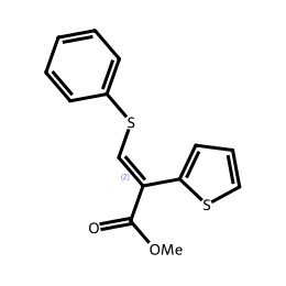 COC(=O)/C(=C/Sc1ccccc1)c1cccs1